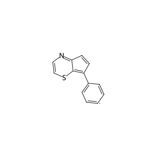 [c]1ccc(-c2ccc3nccsc2-3)cc1